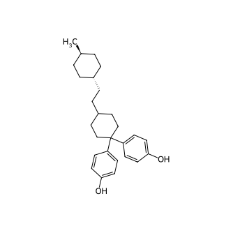 C[C@H]1CC[C@H](CCC2CCC(c3ccc(O)cc3)(c3ccc(O)cc3)CC2)CC1